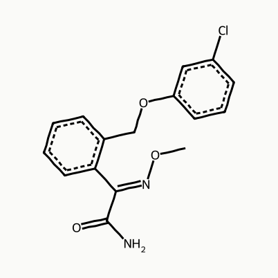 CO/N=C(/C(N)=O)c1ccccc1COc1cccc(Cl)c1